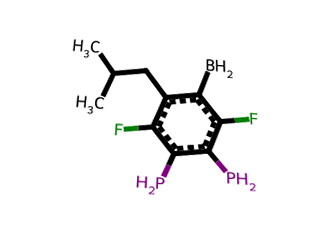 Bc1c(F)c(P)c(P)c(F)c1CC(C)C